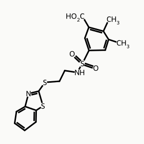 Cc1cc(S(=O)(=O)NCCSc2nc3ccccc3s2)cc(C(=O)O)c1C